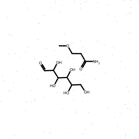 COCCC(N)=O.O=CC(O)C(O)C(O)C(O)CO